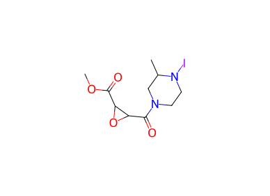 COC(=O)C1OC1C(=O)N1CCN(I)C(C)C1